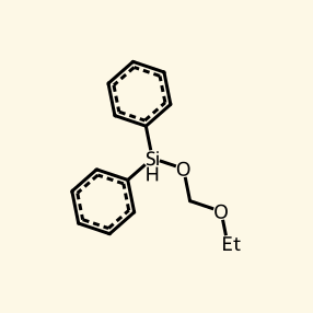 CCOCO[SiH](c1ccccc1)c1ccccc1